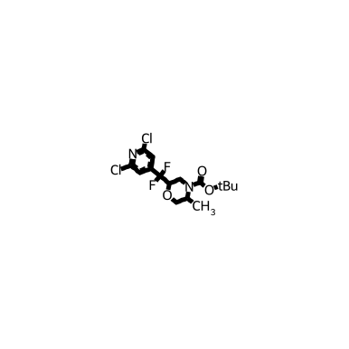 CC1COC(C(F)(F)c2cc(Cl)nc(Cl)c2)CN1C(=O)OC(C)(C)C